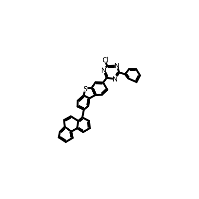 Clc1nc(-c2ccccc2)nc(-c2ccc3c(c2)sc2ccc(-c4cccc5c4ccc4ccccc45)cc23)n1